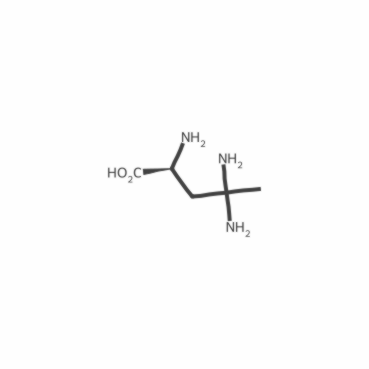 CC(N)(N)C[C@H](N)C(=O)O